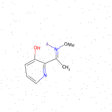 CO[N+](I)=C(C)c1ncccc1O